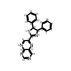 c1ccc(C2N=C(c3cnc4ncncc4n3)SC2c2ccccc2)cc1